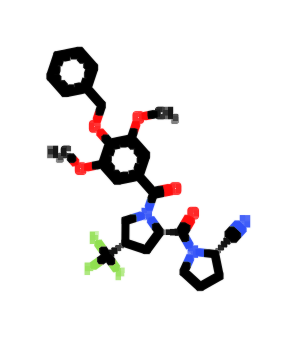 COc1cc(C(=O)N2C[C@@H](C(F)(F)F)C[C@H]2C(=O)N2CCC[C@H]2C#N)cc(OC)c1OCc1ccccc1